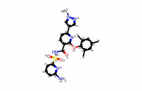 CCCn1cc(-c2ccc(C(=O)NS(=O)(=O)c3cccc(N)n3)c(Oc3c(C)cc(C)cc3C)n2)cn1